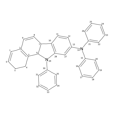 C1=CC2=C(CC1)C1C(C=C2)c2ccc(N(c3ccccc3)c3ccccc3)cc2N1c1ccccc1